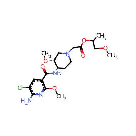 COCC(C)OC(=O)CN1CC[C@H](NC(=O)c2cc(Cl)c(N)nc2OC)[C@H](OC)C1